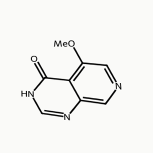 COc1cncc2nc[nH]c(=O)c12